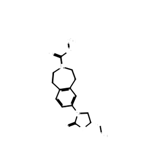 CC(C)(C)OC(=O)N1CCc2ccc(N3C[C@H](CO)OC3=O)cc2CC1